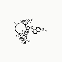 CCOc1ccc2c(O[C@@H]3C[C@H]4C(=O)N[C@]5(C(=O)NS(=O)(=O)C6(CF)CC6)C[C@H]5/C=C\CC[C@@H](C)C[C@@H](C)[C@H](NC(=O)O)C(=O)N4C3)nccc2c1